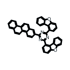 c1ccc2c(c1)ccc1c3ccc(-c4nc(-c5cccc6oc7ccccc7c56)nc(-c5cccc6oc7ccccc7c56)n4)cc3ccc21